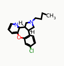 CCCCN1C[C@@H]2c3ncccc3Oc3cc(Cl)ccc3[C@@H]2C1